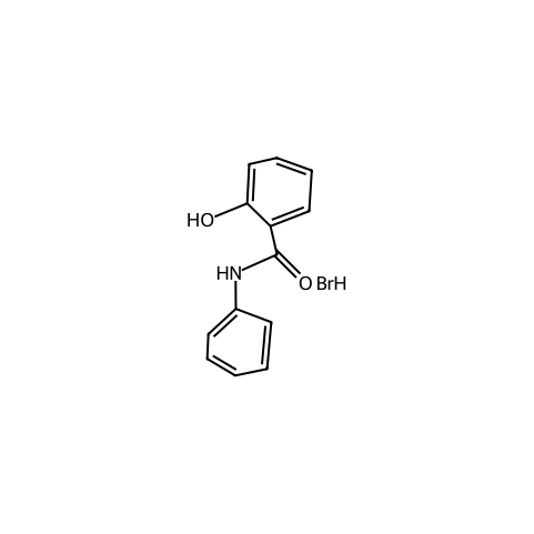 Br.O=C(Nc1ccccc1)c1ccccc1O